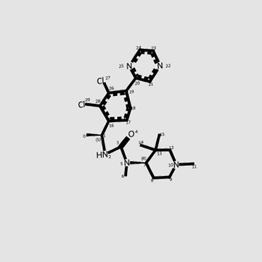 C[C@H](NC(=O)N(C)[C@@H]1CCN(C)CC1(C)C)c1ccc(-c2cnccn2)c(Cl)c1Cl